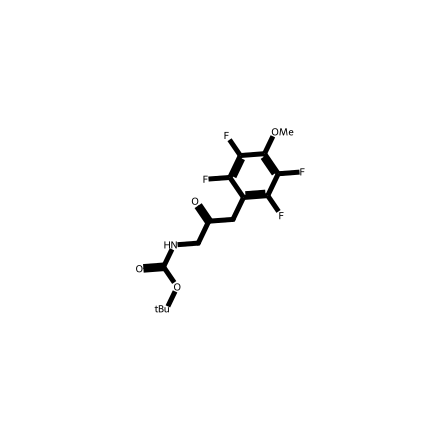 COc1c(F)c(F)c(CC(=O)CNC(=O)OC(C)(C)C)c(F)c1F